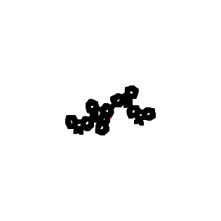 CC1(C)c2ccccc2-c2cc(N(c3ccccc3-c3cccc(-c4ccc5c6ccccc6n(-c6ccc7c(c6)-c6ccccc6C7(C)C)c5c4)c3)c3cccc4ccccc34)ccc21